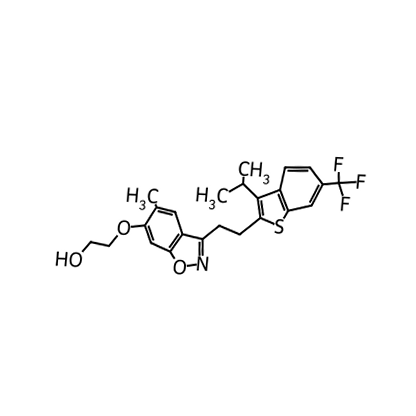 Cc1cc2c(CCc3sc4cc(C(F)(F)F)ccc4c3C(C)C)noc2cc1OCCO